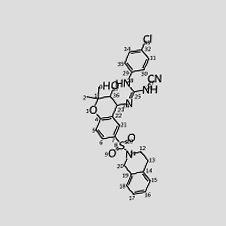 CC1(C)Oc2ccc(S(=O)(=O)N3CCc4ccccc4C3)cc2C(/N=C(/NC#N)Nc2ccc(Cl)cc2)C1O